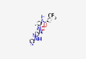 Cc1ccc(NC(=O)c2cccc(C(F)(F)F)c2)cc1N1Cc2cnc(Nc3cccnc3)cc2N(C)C1=O